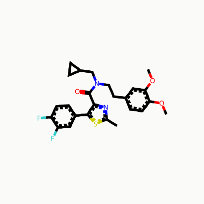 COc1ccc(CCN(CC2CC2)C(=O)c2nc(C)sc2-c2ccc(F)c(F)c2)cc1OC